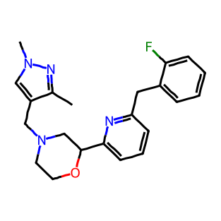 Cc1nn(C)cc1CN1CCOC(c2cccc(Cc3ccccc3F)n2)C1